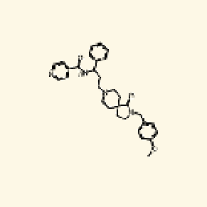 COc1ccc(CN2CCC3(CCN(CCC(NC(=O)c4ccncc4)c4ccccc4)CC3)C2=O)cc1